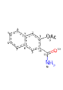 CC(=O)Oc1cc2ccccc2cc1C(N)=O